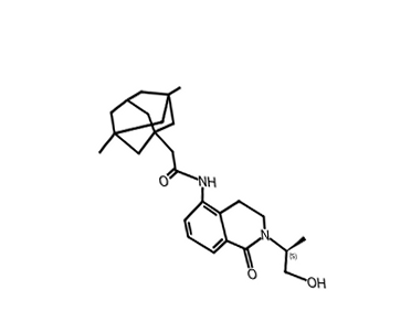 C[C@@H](CO)N1CCc2c(NC(=O)CC34CC5CC(C)(CC(C)(C5)C3)C4)cccc2C1=O